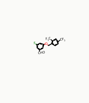 O=Cc1cc(F)cc(OCc2ccc(C(F)(F)F)cc2C(F)(F)F)c1